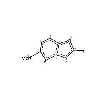 CNc1ccc2nc(C)nn2c1